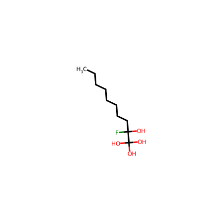 CCCCCCCCC(O)(F)C(O)(O)O